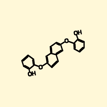 Oc1ccccc1Oc1ccc2cc(Oc3ccccc3O)ccc2c1